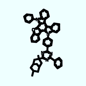 CC1CC2CC(C1)CC(C)(c1nc(-c3ccccc3)nc(-c3ccc(-n4c5ccccc5c5c6c7ccccc7n(-c7ccccc7)c6c6oc7ccccc7c6c54)cc3)n1)C2